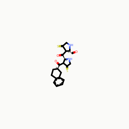 O=C[C@H]1NCC(=S)C1C(=O)[C@H]1NCC(=S)C1C(=O)[C@@H]1CCc2ccccc2C1